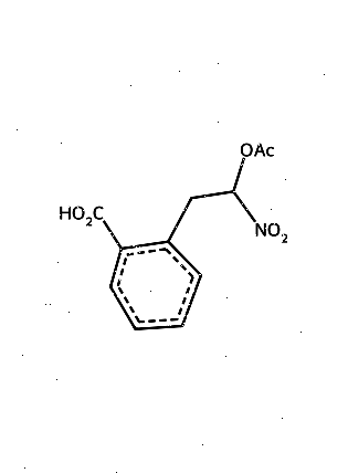 CC(=O)OC(Cc1ccccc1C(=O)O)[N+](=O)[O-]